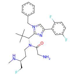 CN[C@H](CF)CCN(C(=O)CN)[C@@H](c1nc(-c2cc(F)ccc2F)cn1Cc1ccccc1)C(C)(C)C